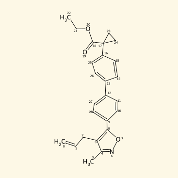 C=CCc1c(C)noc1-c1ccc(-c2ccc(C3(C(=O)OCC)CC3)cc2)cc1